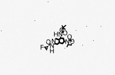 CC1COC(=O)N1c1cc(NC(=O)OC(C)(C)C)c2cnc(NC(=O)[C@@H]3C[C@@H]3F)cc2c1